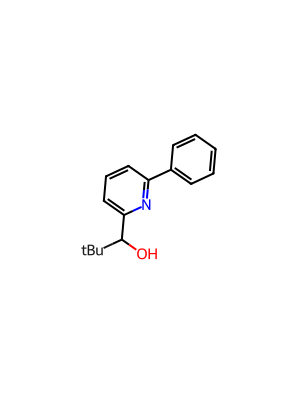 CC(C)(C)C(O)c1cccc(-c2ccccc2)n1